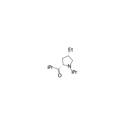 CC[C@H]1C[C@@H](C(=O)C(C)C)N(C(C)C)C1